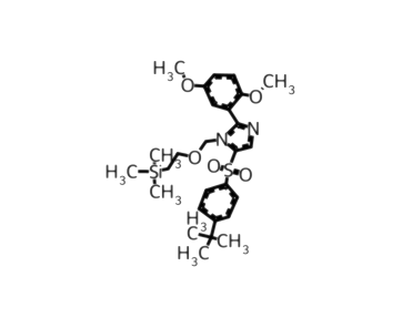 COc1ccc(OC)c(-c2ncc(S(=O)(=O)c3ccc(C(C)(C)C)cc3)n2COCC[Si](C)(C)C)c1